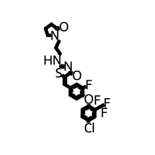 O=C1N=C(NCCCN2CCCC2=O)SC1=Cc1ccc(Oc2ccc(Cl)cc2C(F)(F)F)c(F)c1